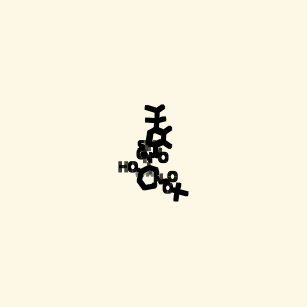 Cc1c(C(=O)N(O[SiH3])[C@@H]2CN(C(=O)OC(C)(C)C)CCC[C@H]2O)ccc(C(C)(C)C(C)C)c1C